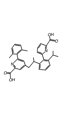 Cc1cccc(C)c1-c1cc(CC(C)c2cccc(C(C)C)c2-c2cccc(C(=O)O)n2)cc(C(=O)O)n1